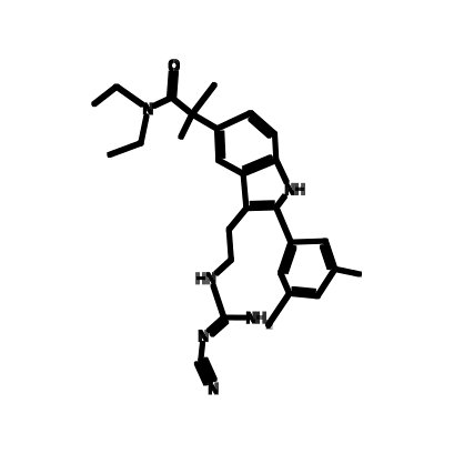 CCN(CC)C(=O)C(C)(C)c1ccc2[nH]c(-c3cc(C)cc(C)c3)c(CCN/C(N)=N/C#N)c2c1